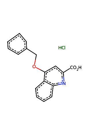 Cl.O=C(O)c1cc(OCc2ccccc2)c2ccccc2n1